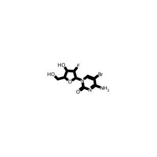 Nc1nc(=O)n(C2OC(CO)C(O)C2F)cc1Br